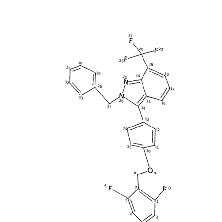 Fc1cccc(F)c1COc1ccc(-c2c3cccc(C(F)(F)F)c3nn2Cc2ccccc2)cc1